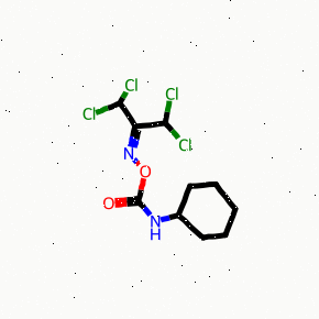 O=C(NC1CCCCC1)ON=C(C(Cl)Cl)C(Cl)Cl